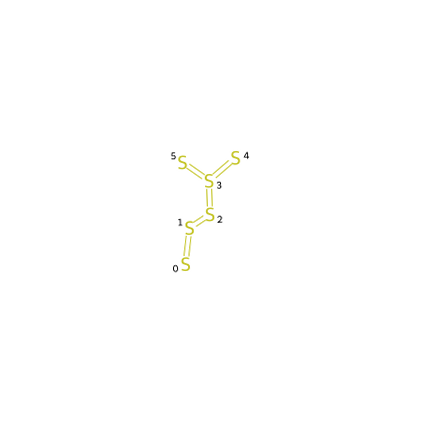 S=S=S=S(=S)=S